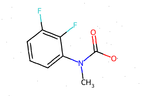 CN(C([O])=O)c1cccc(F)c1F